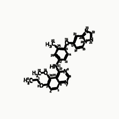 CCOc1ccc2ncnc(Nc3ccc(Oc4ccn5ncnc5c4)c(C)c3)c2c1OC